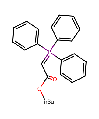 CCCCOC(=O)C=P(c1ccccc1)(c1ccccc1)c1ccccc1